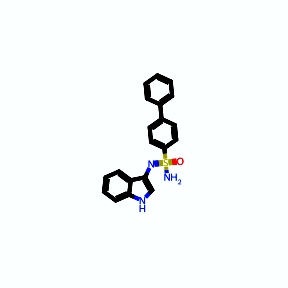 NS(=O)(=Nc1c[nH]c2ccccc12)c1ccc(-c2ccccc2)cc1